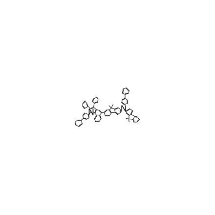 CC1(C)c2ccccc2-c2ccc(N(c3ccc(-c4ccccc4)cc3)c3ccc4c(c3)C(C)(C)c3cc(-c5cc6c(-c7ccccc7)c(-c7ccccc7)n(-c7ccc(-c8ccccc8)cc7)c6c6ccccc56)ccc3-4)cc21